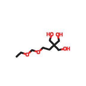 CCOCOCCC(CO)(CO)CO